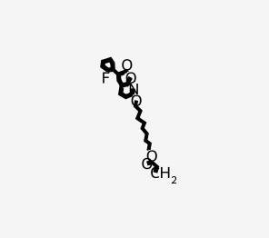 C=CC(=O)OCCCCCCCCCOc1ccc2cc(-c3ccccc3F)c(=O)oc2n1